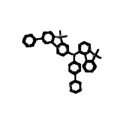 C[Si]1(C)c2ccc(-c3ccccc3)cc2-c2ccc(N(c3ccc(-c4ccccc4)cc3)c3cccc4c3-c3ccccc3[Si]4(C)C)cc21